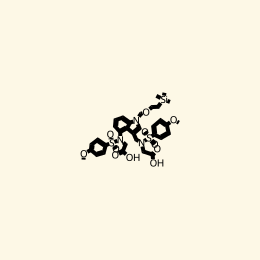 COc1ccc(S(=O)(=O)N(CC(=O)O)Cc2cn(COCC[Si](C)(C)C)c3cccc(N(CC(=O)O)S(=O)(=O)c4ccc(OC)cc4)c23)cc1